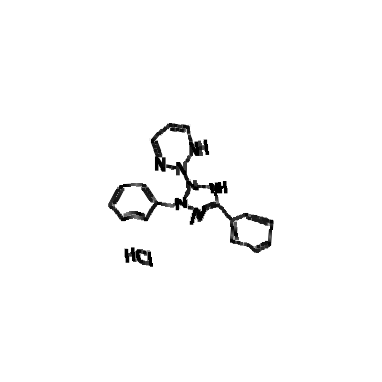 C1=CNN(N2NC(c3ccccc3)=NN2c2ccccc2)N=C1.Cl